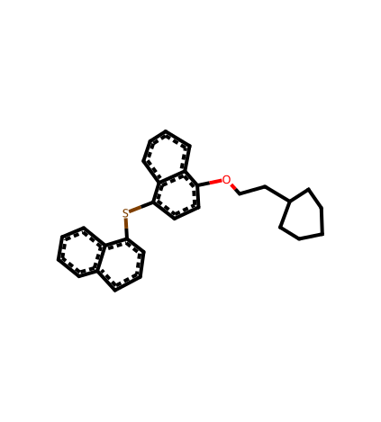 c1ccc2c(Sc3ccc(OCCC4CCCCC4)c4ccccc34)cccc2c1